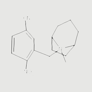 C[N+]1(Cc2cc(C#N)ccc2[N+](=O)[O-])C2C[CH]CC1CC2